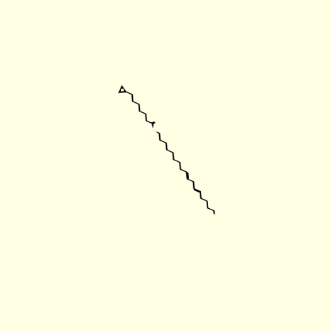 CCCCCC=CCC=CCCCCCCCCOC(=O)CCCCCCC1CC1